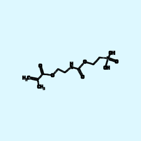 C=C(C)C(=O)OCCNC(=O)OCCP(=O)(O)O